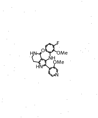 COc1cnccc1-c1[nH]c2c(c1Nc1cccc(F)c1OC)C(=O)NCC2